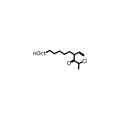 C=CC(CCCCCCCCCCCCC)C(=O)C(C)Cl